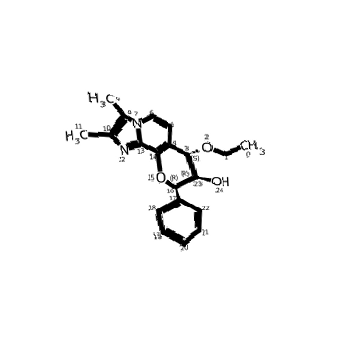 CCO[C@H]1c2ccn3c(C)c(C)nc3c2O[C@H](c2ccccc2)[C@@H]1O